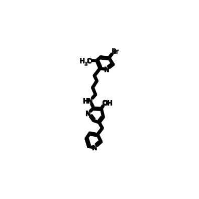 Cc1cc(Br)cnc1CCCCNc1ncc(Cc2cccnc2)cc1O